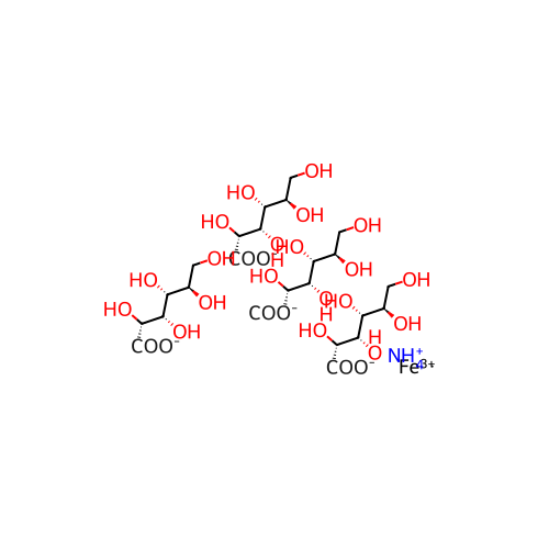 O=C([O-])[C@H](O)[C@@H](O)[C@H](O)[C@H](O)CO.O=C([O-])[C@H](O)[C@@H](O)[C@H](O)[C@H](O)CO.O=C([O-])[C@H](O)[C@@H](O)[C@H](O)[C@H](O)CO.O=C([O-])[C@H](O)[C@@H](O)[C@H](O)[C@H](O)CO.[Fe+3].[NH4+]